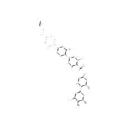 C/C=C/CCC1CCC(c2ccc(-c3cc(F)c(C(F)(F)Oc4ccc(-c5cc(F)c(CCC)c(F)c5)c(F)c4)c(F)c3)c(F)c2)CC1